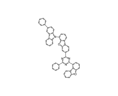 c1ccc(-c2ccc3c(c2)c2ccccc2n3-c2cccc3c2oc2cc(-c4nc(-c5ccccc5)nc(-c5cccc6oc7ccccc7c56)n4)ccc23)cc1